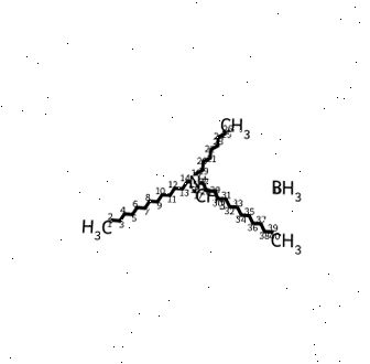 B.CCCCCCCCCCCCCC[N+](CC)(CCCCCCCCC)CCCCCCCCCCCCCC